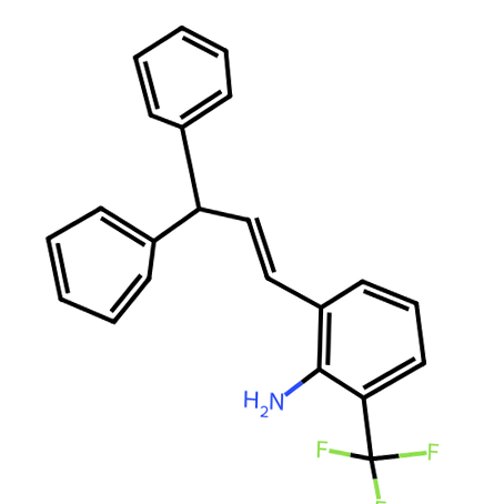 Nc1c(C=CC(c2ccccc2)c2ccccc2)cccc1C(F)(F)F